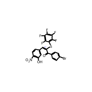 O=C(/C(=C\c1ccc([N+](=O)[O-])c(O)c1)Sc1c(F)c(F)c(F)c(F)c1F)c1ccc(Br)cc1